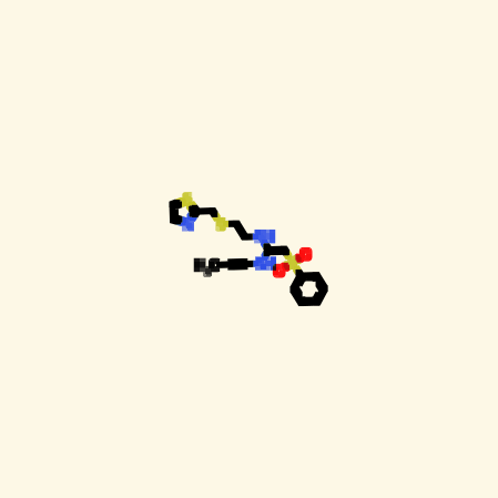 CC#CNC(=CS(=O)(=O)c1ccccc1)NCCSCc1nccs1